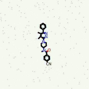 Cc1c(-c2ccccc2)nnc(N2CCC(N(C)C(=O)c3ccc(C#N)cc3)CC2)c1C